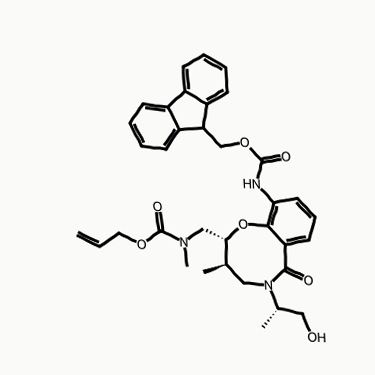 C=CCOC(=O)N(C)C[C@@H]1Oc2c(NC(=O)OCC3c4ccccc4-c4ccccc43)cccc2C(=O)N([C@@H](C)CO)C[C@H]1C